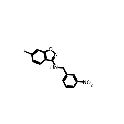 O=[N+]([O-])c1cccc(CNc2noc3cc(F)ccc23)c1